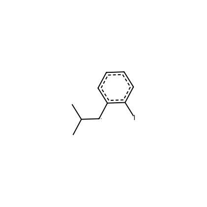 CC(C)[CH]c1ccccc1I